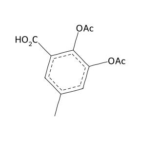 CC(=O)Oc1cc(C)cc(C(=O)O)c1OC(C)=O